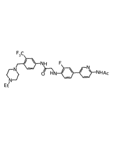 CCN1CCN(Cc2ccc(NC(=O)CNc3ccc(-c4ccc(NC(C)=O)nc4)cc3F)cc2C(F)(F)F)CC1